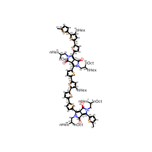 CCCCCCCCC(CCCCCC)CN1C(=O)C2=C(c3ccc(-c4ccc(-c5sc(-c6ccc(C7=C8C(=O)N(CC(CCCCCC)CCCCCCCC)C(c9ccc(-c%10cc(CCCCCC)c(-c%11ccc(C)s%11)s%10)s9)=C8C(=O)N7CC(CCCCCC)CCCCCCCC)s6)cc5CCCCCC)s4)s3)N(CC(CCCCCC)CCCCCCCC)C(=O)C2=C1c1ccc(C)s1